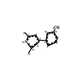 Cc1cc(-c2cccc(C#N)c2)cc(C)n1